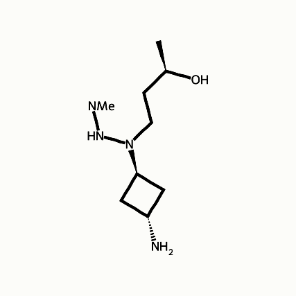 CNNN(CC[C@@H](C)O)[C@H]1C[C@H](N)C1